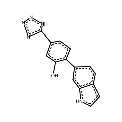 Oc1cc(-c2nnn[nH]2)ccc1-c1ccc2cc[nH]c2c1